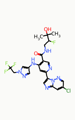 CC(C)(O)C(F)CNC(=O)c1cnc(-c2cnc3cc(Cl)cnn23)cc1Nc1cnn(CC(F)(F)F)c1